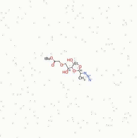 CCO[C@H](OC(CO)[C@@H](O)COCC(=O)OC(C)(C)C)C(C)N=[N+]=[N-]